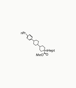 CCCCCCCC1(C(=O)OC)CCC(C2CCC(c3ccc(CCC)cc3)CC2)CC1